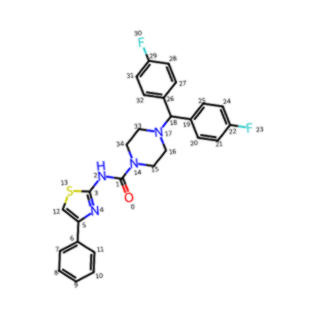 O=C(Nc1nc(-c2ccccc2)cs1)N1CCN(C(c2ccc(F)cc2)c2ccc(F)cc2)CC1